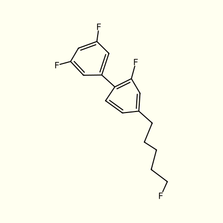 FCCCCCc1ccc(-c2cc(F)cc(F)c2)c(F)c1